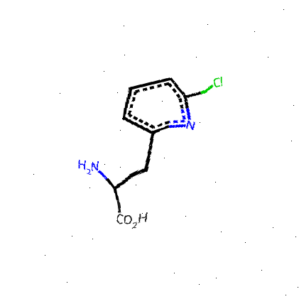 NC(Cc1cccc(Cl)n1)C(=O)O